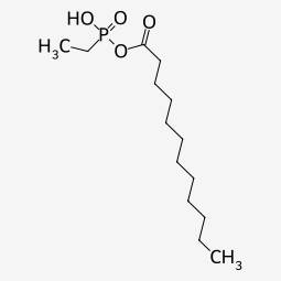 CCCCCCCCCCCC(=O)OP(=O)(O)CC